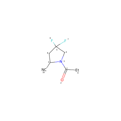 CCC(=O)N1CC(F)(F)CC1C#N